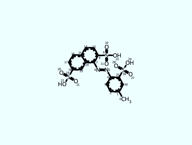 Cc1ccc(N=Nc2c(S(=O)(=O)O)ccc3ccc(S(=O)(=O)O)cc23)c(S(=O)(=O)O)c1